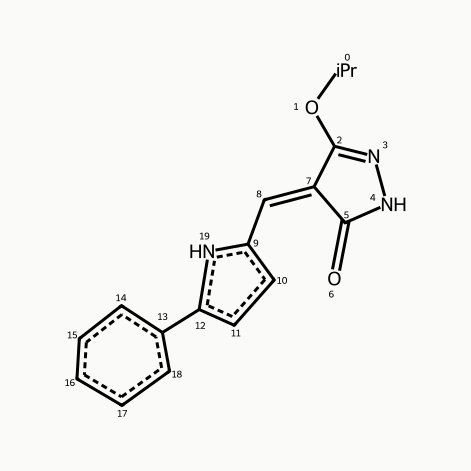 CC(C)OC1=NNC(=O)/C1=C\c1ccc(-c2ccccc2)[nH]1